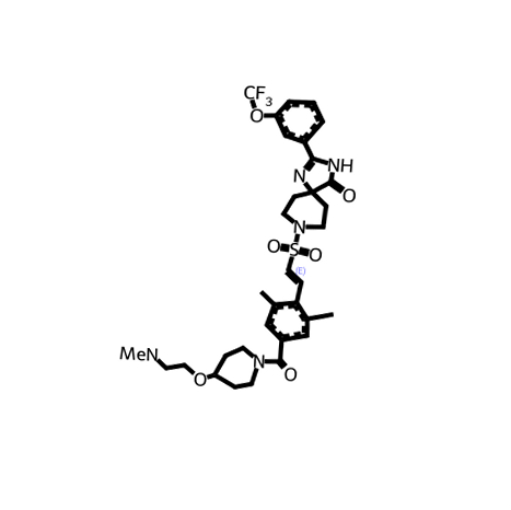 CNCCOC1CCN(C(=O)c2cc(C)c(/C=C/S(=O)(=O)N3CCC4(CC3)N=C(c3cccc(OC(F)(F)F)c3)NC4=O)c(C)c2)CC1